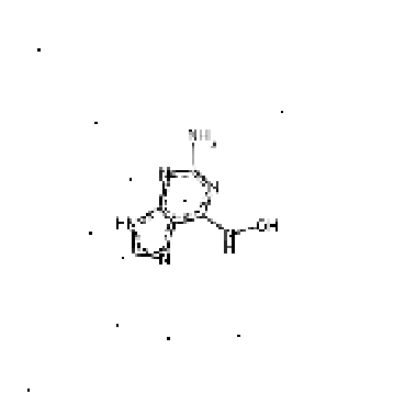 Nc1nc(NO)c2nc[nH]c2n1